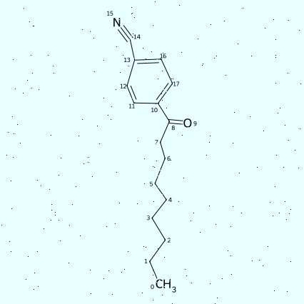 CCCCCCCCC(=O)c1ccc(C#N)cc1